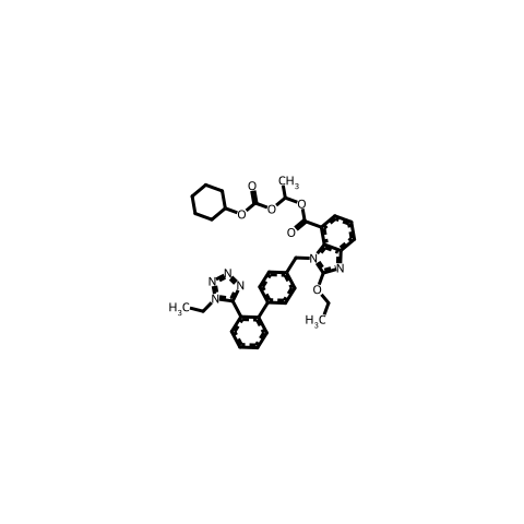 CCOc1nc2cccc(C(=O)OC(C)OC(=O)OC3CCCCC3)c2n1Cc1ccc(-c2ccccc2-c2nnnn2CC)cc1